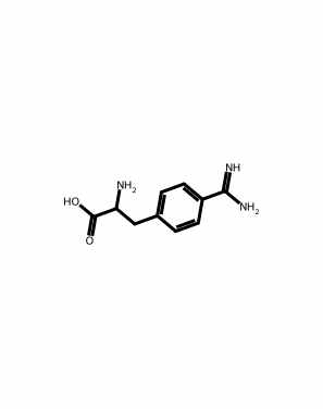 N=C(N)c1ccc(CC(N)C(=O)O)cc1